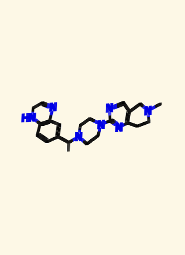 CC(c1ccc2c(c1)N=CCN2)N1CCN(c2ncc3c(n2)CCN(C)C3)CC1